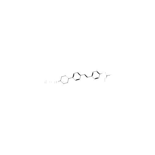 CCCCCC1CCC(c2ccc(C=Cc3ccc(OC(F)F)cc3)cc2)CC1